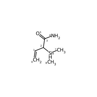 C=CC(C(N)=O)[SiH](C)C